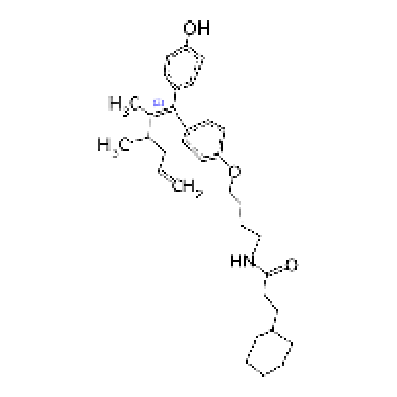 C=CCC(C)/C(C)=C(/c1ccc(O)cc1)c1ccc(OCCCCNC(=O)CCC2CCCCC2)cc1